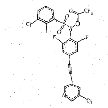 Cc1c(Cl)cccc1S(=O)(=O)N(OC(=O)C(F)(F)F)c1c(F)cc(C#Cc2cncc(Cl)c2)cc1F